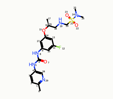 Cc1ccc(NC(=O)Nc2cc(F)cc(O[C@@H](C)CNCS(=O)(=O)N(C)C)c2)cn1